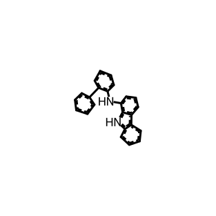 c1ccc(-c2ccccc2Nc2cccc3c2[nH]c2ccccc23)cc1